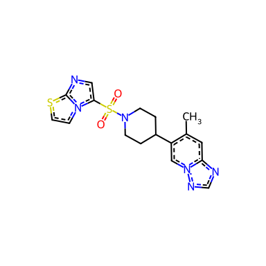 Cc1cc2ncnn2cc1C1CCN(S(=O)(=O)c2cnc3sccn23)CC1